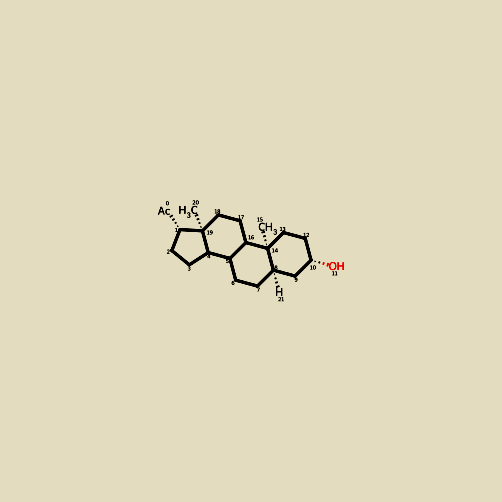 CC(=O)[C@H]1CCC2C3CC[C@@H]4C[C@@H](O)CC[C@]4(C)C3CC[C@@]21C